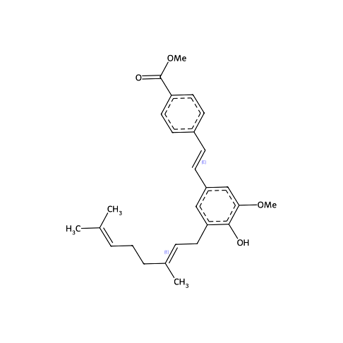 COC(=O)c1ccc(/C=C/c2cc(C/C=C(\C)CCC=C(C)C)c(O)c(OC)c2)cc1